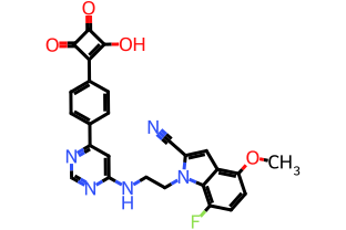 COc1ccc(F)c2c1cc(C#N)n2CCNc1cc(-c2ccc(-c3c(O)c(=O)c3=O)cc2)ncn1